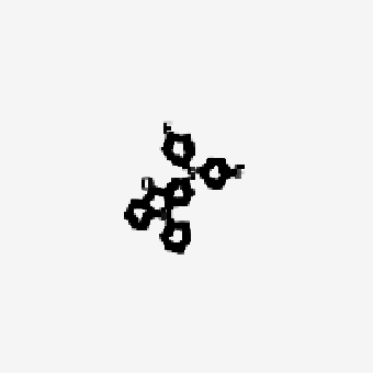 O=c1c2ccccc2n(-c2ccccc2)c2ccc([S+](c3ccc(F)cc3)c3ccc(F)cc3)cc12